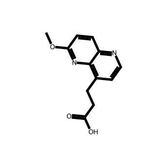 COc1ccc2nccc(CCC(=O)O)c2n1